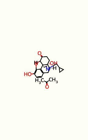 CC(C)=O.O=C1CC[C@@]2(O)[C@H]3Cc4ccc(O)c5c4[C@@]2(CCN3CC2CC2)[C@H]1O5